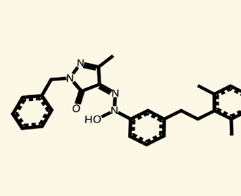 CC1=NN(Cc2ccccc2)C(=O)C1=NN(O)c1cccc(CCc2c(C)cccc2C)c1